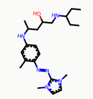 CCC(CC)NCC(O)CC(C)Nc1ccc(N=Nc2n(C)cc[n+]2C)c(C)c1